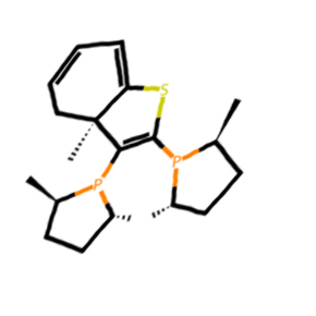 C[C@@H]1CC[C@@H](C)P1C1=C(P2[C@@H](C)CC[C@@H]2C)SC2=CC=CC[C@@]21C